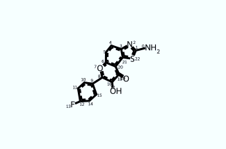 Nc1nc2ccc3oc(-c4ccc(F)cc4)c(O)c(=O)c3c2s1